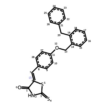 O=C1NC(=S)S/C1=C\c1ccc(OCc2ccccc2Cc2ccccc2)cc1